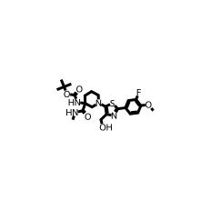 CNC(=O)C1(NC(=O)OC(C)(C)C)CCCN(c2sc(-c3ccc(OC)c(F)c3)nc2CO)C1